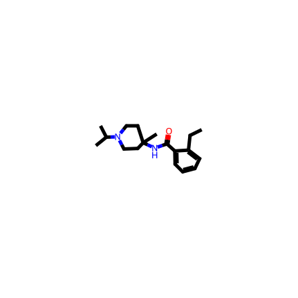 CCc1ccccc1C(=O)NC1(C)CCN(C(C)C)CC1